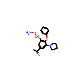 CC(=S)c1cc(SOON)c(Oc2ccccc2)c(N2CCCC2)c1